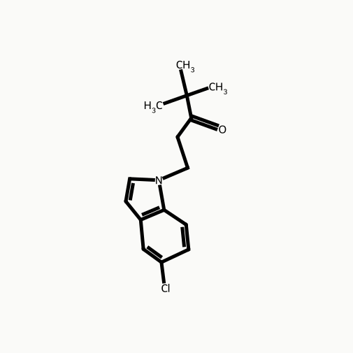 CC(C)(C)C(=O)CCn1ccc2cc(Cl)ccc21